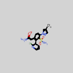 NC(=O)Cc1ccc(-n2cc(C(F)(F)F)cn2)c(S(N)(=O)=O)c1-c1cccnc1Cl